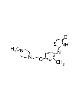 Cc1cc(OCCN2CCN(C)CC2)ccc1/N=C1/NC(=O)CS1